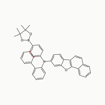 CC1(C)OB(c2ccc(N(c3ccc4c(c3)oc3c5ccccc5ccc43)c3ccccc3-c3ccccc3)cc2)OC1(C)C